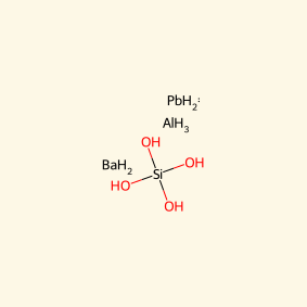 O[Si](O)(O)O.[AlH3].[BaH2].[PbH2]